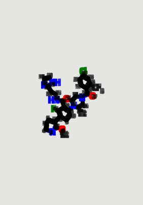 CCOc1ncccc1-c1ccc(N2CCN(C(=O)c3ccc(Cl)cc3C(F)(F)F)C[C@H]2CC)c(C(=O)NCCc2ncc[nH]2)c1F